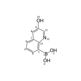 OB(O)c1cccc2cc(O)cnc12